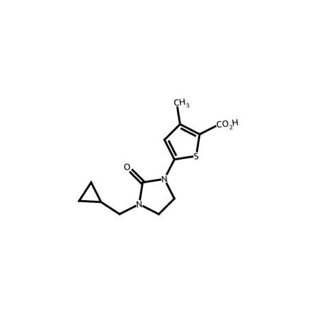 Cc1cc(N2CCN(CC3CC3)C2=O)sc1C(=O)O